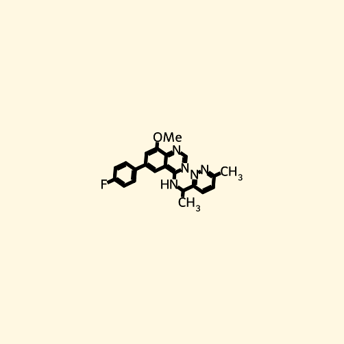 COc1cc(-c2ccc(F)cc2)cc2c(NC(C)c3ccc(C)nn3)ncnc12